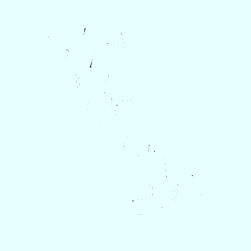 COC(=O)[C@@H](C)[C@H](c1ccc2c(c1)N(C)[C@H](C1CCN(Cc3cc(C(F)(F)F)ccc3C(F)(F)F)CC1)CO2)C1CC1